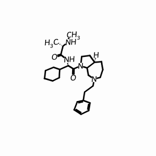 CN[C@@H](C)C(=O)N[C@H](C(=O)N1CC[C@H]2CCCN(CCc3ccccc3)CC21)C1CCCCC1